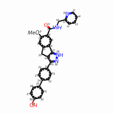 COc1cc2c(cc1C(=O)NCc1ccccn1)-c1[nH]nc(-c3ccc(-c4ccc(O)cc4)cc3)c1C2